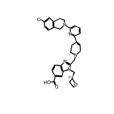 O=C(O)c1ccc2nc(CN3CC=C(c4cccc(N5CCc6cc(Cl)ccc6C5)n4)CC3)n(C[C@@H]3CCO3)c2c1